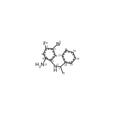 CC(Nc1cc(Br)c(F)cc1N)c1ccccc1